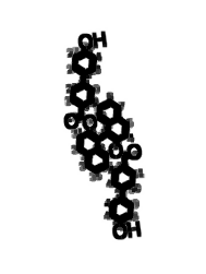 O=C(Oc1ccc2ccccc2c1-c1c(OC(=O)c2ccc(-c3ccc(O)cc3)cc2)ccc2ccccc12)c1ccc(-c2ccc(O)cc2)cc1